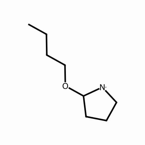 CCCCOC1CCC[N]1